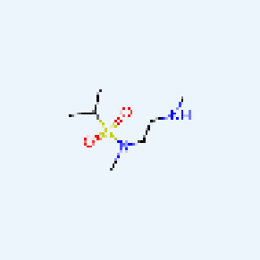 CNCCN(C)S(=O)(=O)C(C)C